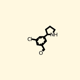 O=Cc1cc(Cl)cc(C2CCCN2)c1